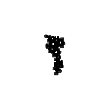 CCC[C@@]1(O)CC[C@@]2(Cc3ccccc3)c3ccc(OCc4noc(C(C)(C)C)n4)cc3CC[C@@H]2C1